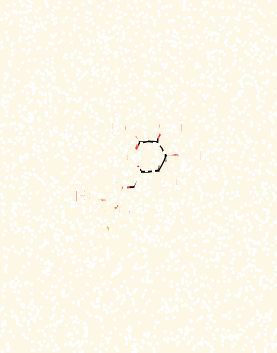 CSP(=O)(O)OC[C@H]1O[C@@H](O)C(O)[C@@H](O)[C@@H]1O